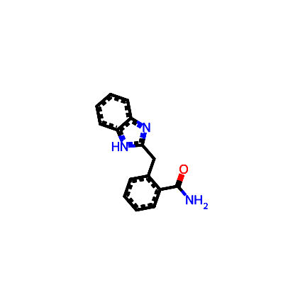 NC(=O)c1ccccc1Cc1nc2ccccc2[nH]1